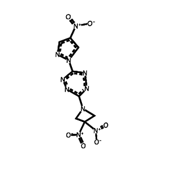 O=[N+]([O-])c1cnn(-c2nnc(N3CC([N+](=O)[O-])([N+](=O)[O-])C3)nn2)c1